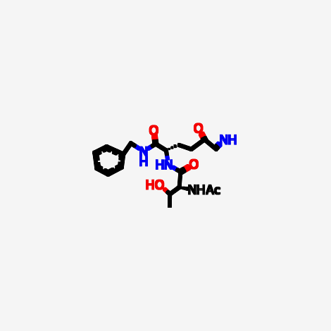 CC(=O)N[C@H](C(=O)N[C@@H](CCC(=O)C=N)C(=O)NCc1ccccc1)C(C)O